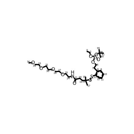 CCOP(=O)(OCCc1ccccc1SSC(C)(C)CCC(=O)NCCOCCOCCOCCOC)OC(C)(C)C